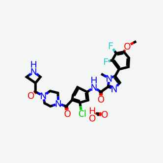 COc1ccc(-c2cnc(C(=O)Nc3ccc(C(=O)N4CCN(C(=O)C5CNC5)CC4)c(Cl)c3)n2C)c(F)c1F.O=CO